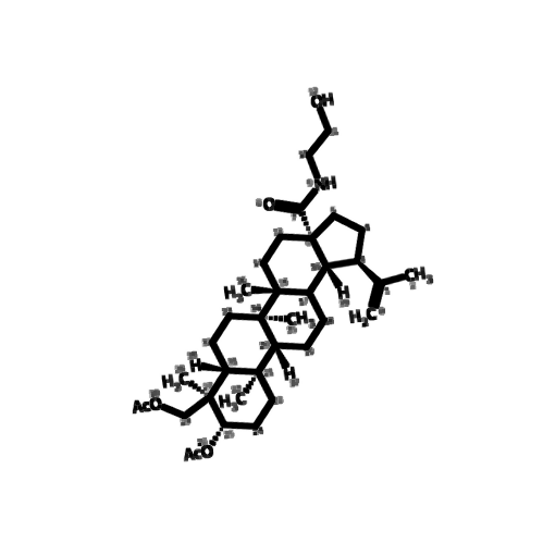 C=C(C)[C@@H]1CC[C@]2(C(=O)NCCO)CC[C@]3(C)C(CC[C@@H]4[C@@]5(C)CC[C@H](OC(C)=O)[C@@](C)(COC(C)=O)[C@@H]5CC[C@]43C)[C@@H]12